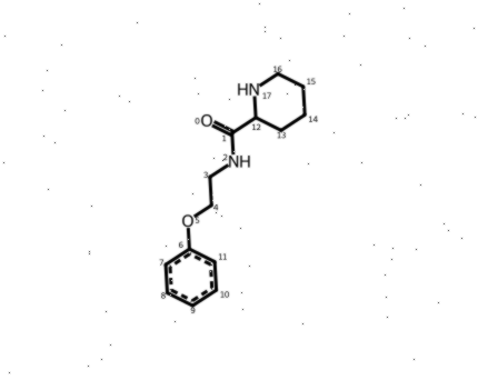 O=C(NCCOc1ccccc1)C1CCCCN1